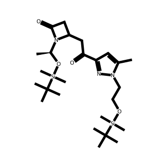 Cc1cc(C(=O)CC2CC(=O)N2[C@H](C)O[Si](C)(C)C(C)(C)C)nn1CCO[Si](C)(C)C(C)(C)C